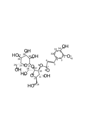 COc1cc(/C=C/C(=O)O[C@H]2[C@H](O)[C@@H](CO)O[C@@]2(CO)O[C@H]2O[C@H](CO)[C@@H](O)[C@H](O)[C@H]2O)ccc1O